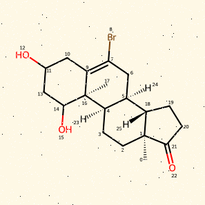 C[C@]12CC[C@@H]3[C@@H](CC(Br)=C4CC(O)CC(O)[C@@]43C)[C@@H]1CCC2=O